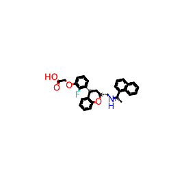 C[C@@H](NC[C@H]1C[C@@H](c2cccc(OCC(=O)O)c2F)c2ccccc2O1)c1cccc2ccccc12